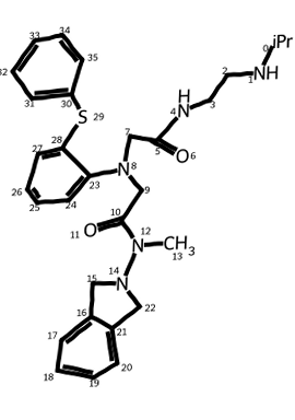 CC(C)NCCNC(=O)CN(CC(=O)N(C)N1Cc2ccccc2C1)c1ccccc1Sc1ccccc1